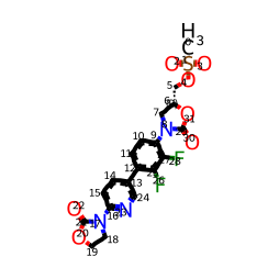 CS(=O)(=O)OC[C@H]1CN(c2ccc(-c3ccc(N4CCOC4=O)nc3)c(F)c2F)C(=O)O1